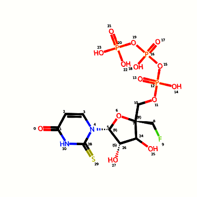 O=c1ccn([C@@H]2O[C@](CF)(COP(=O)(O)OP(=O)(O)OP(=O)(O)O)C(O)[C@@H]2O)c(=S)[nH]1